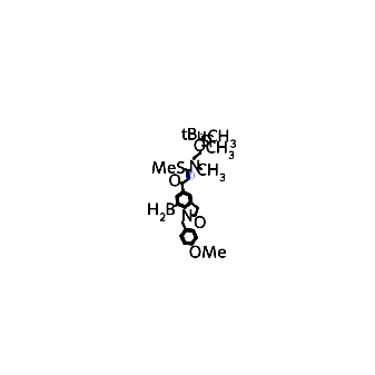 Bc1cc(C(=O)/C=C(\SC)N(C)CCO[Si](C)(C)C(C)(C)C)cc2c1N(Cc1ccc(OC)cc1)C(=O)C2